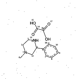 CN1CCNC(c2ccccc2)C1.O=C(O)C(=O)O